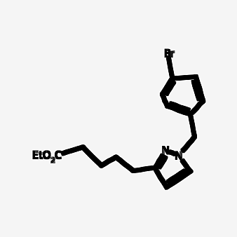 CCOC(=O)CCCCc1ccn(Cc2ccc(Br)cc2)n1